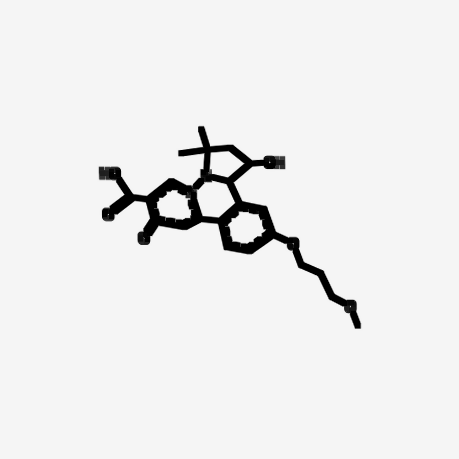 COCCCOc1ccc2c(c1)C1C(O)CC(C)(C)N1n1cc(C(=O)O)c(=O)cc1-2